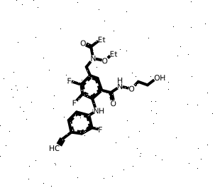 C#Cc1ccc(Nc2c(C(=O)NOCCO)cc(CN(OCC)C(=O)CC)c(F)c2F)c(F)c1